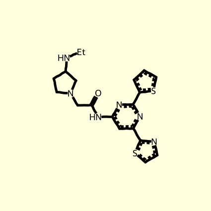 CCNC1CCN(CC(=O)Nc2cc(-c3nccs3)nc(-c3cccs3)n2)C1